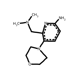 CN(C)Cc1nc(N)ccc1N1CCOCC1